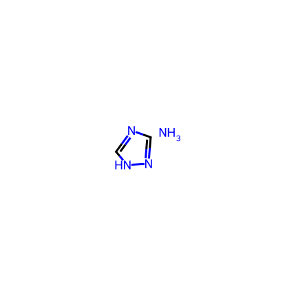 N.c1nc[nH]n1